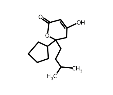 CC(C)CCC1(C2CCCC2)CC(O)=CC(=O)O1